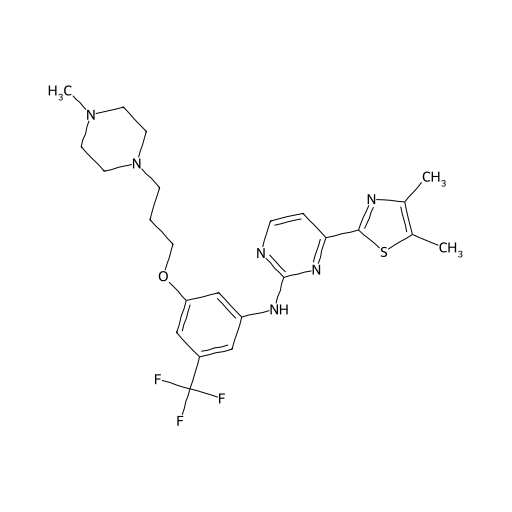 Cc1nc(-c2ccnc(Nc3cc(OCCCN4CCN(C)CC4)cc(C(F)(F)F)c3)n2)sc1C